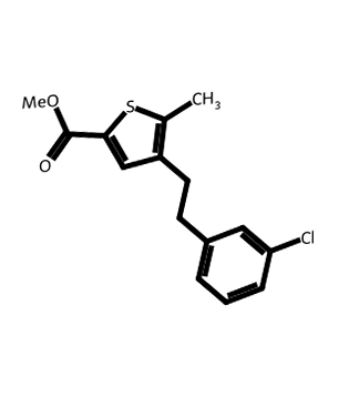 COC(=O)c1cc(CCc2cccc(Cl)c2)c(C)s1